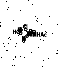 CC(=O)NNC(=O)[C@H]1CN(C2CCC(c3cc(C)n(C)n3)CC2)[C@@H](Cc2ccc(Cl)cc2)CO1.O=C(O)C(F)(F)F